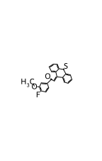 COc1cc(C(=O)C=C2c3ccccc3C(=S)c3ccccc32)ccc1F